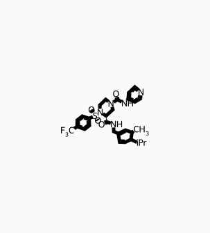 CC(C)C1C=CC(CNC(=O)[C@H]2CN(C(=O)Nc3ccncc3)CCN2S(=O)(=O)c2ccc(C(F)(F)F)cc2)=CC1C